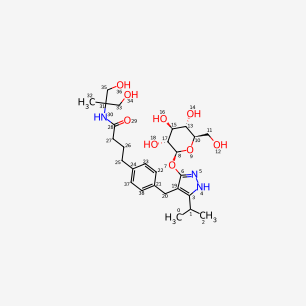 CC(C)c1[nH]nc(O[C@@H]2O[C@H](CO)[C@@H](O)[C@H](O)[C@H]2O)c1Cc1ccc(CCCC(=O)NC(C)(CO)CO)cc1